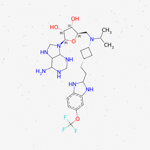 CC(C)N(C[C@H]1O[C@@H](N2CNC3C(N)NCNC32)[C@H](O)[C@@H]1O)[C@H]1C[C@@H](CCC2Nc3ccc(OC(F)(F)F)cc3N2)C1